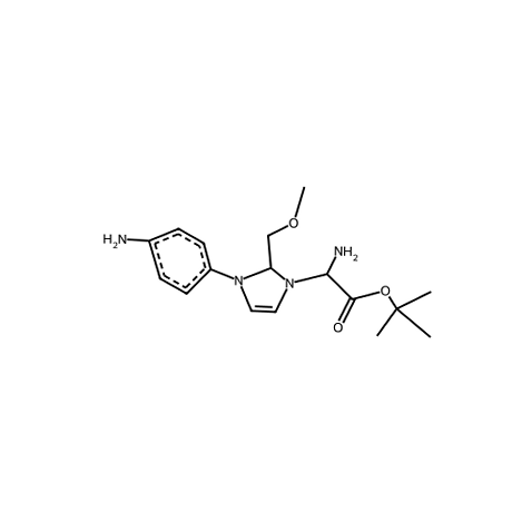 COCC1N(c2ccc(N)cc2)C=CN1C(N)C(=O)OC(C)(C)C